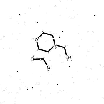 CCN1CCOCC1.ClCCl